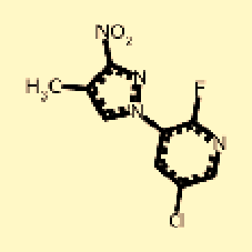 Cc1cn(-c2cc(Cl)cnc2F)nc1[N+](=O)[O-]